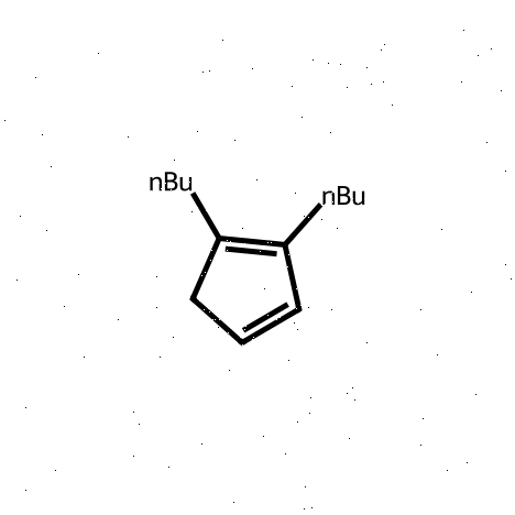 CCCCC1=C(CCCC)CC=C1